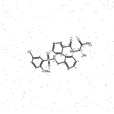 COc1ccc(Cl)cc1S(=O)(=O)NCc1ccccc1-c1ccccc1C(=O)N[C@H](C(N)=O)C(C)C